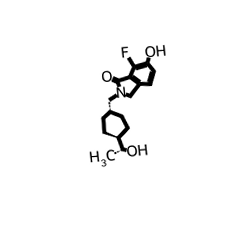 C[C@@H](O)[C@H]1CC[C@H](CN2Cc3ccc(O)c(F)c3C2=O)CC1